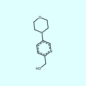 OCc1ccc(N2CCOCC2)cn1